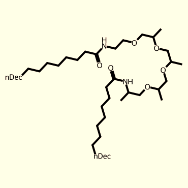 CCCCCCCCCCCCCCCCCC(=O)NCCOCC(C)OCC(C)OCC(C)OCC(C)NC(=O)CCCCCCCCCCCCCCCCC